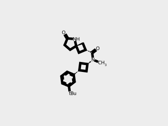 CN(C(=O)[C@H]1C[C@]2(CCC(=O)N2)C1)[C@H]1C[C@@H](c2cccc(C(C)(C)C)c2)C1